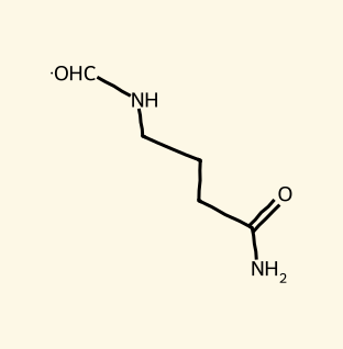 NC(=O)CCCN[C]=O